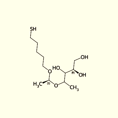 CC(O[C@@H](C)OCCCCCS)C(O)[C@H](O)CO